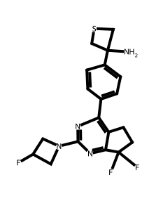 NC1(c2ccc(-c3nc(N4CC(F)C4)nc4c3CCC4(F)F)cc2)CSC1